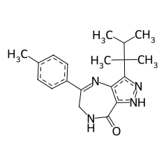 Cc1ccc(C2=Nc3c(C(C)(C)C(C)C)n[nH]c3C(=O)NC2)cc1